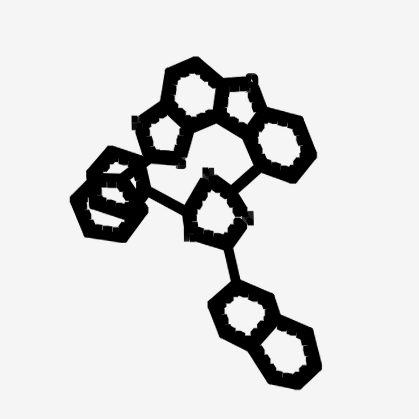 c1ccc(-c2nc(-c3ccc4ccccc4c3)nc(-c3cccc4oc5ccc6nc(-c7ccccc7)sc6c5c34)n2)cc1